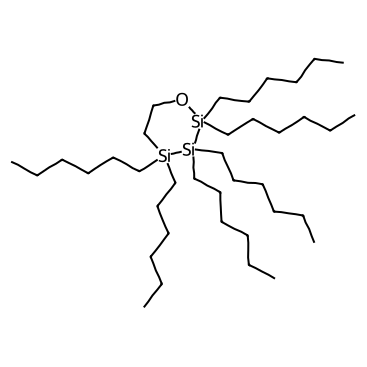 CCCCCC[Si]1(CCCCCC)CCO[Si](CCCCCC)(CCCCCC)[Si]1(CCCCCC)CCCCCC